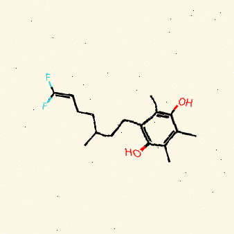 Cc1c(C)c(O)c(CCC(C)CCC=C(F)F)c(C)c1O